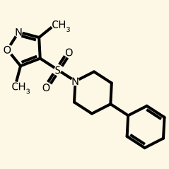 Cc1noc(C)c1S(=O)(=O)N1CCC(C2C=CCC=C2)CC1